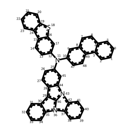 c1ccc2c(c1)ccc1cc(N(c3ccc4c(c3)sc3ccccc34)c3ccc4c5c6ccccc6n6c7ccccc7n(c4c3)c56)ccc12